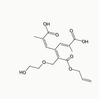 C=CCOC(=O)C(COCCO)=C(C=C(C)C(=O)O)C=C(C)C(=O)O